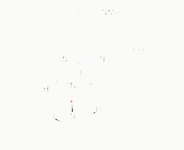 CNC(=O)CC/C(=N\OCC(=O)O)c1nc2ccccc2n([C@H]2C[C@H]3CCC[C@@H](C2)N3[C@@H]2C[C@@H]3CCCC[C@@H](C3)C2)c1=O